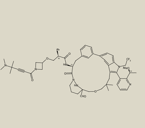 CO[C@@H](C)c1ncccc1-c1c2c3cc(ccc3n1CC(F)(F)F)-c1cccc(c1)C[C@H](NC(=O)[C@@H](COC1CN(C(=O)C#CC(C)(C)N(C)C)C1)C(C)C)C(=O)N1CCCC(C=O)(COCC(C)(C)C2)N1